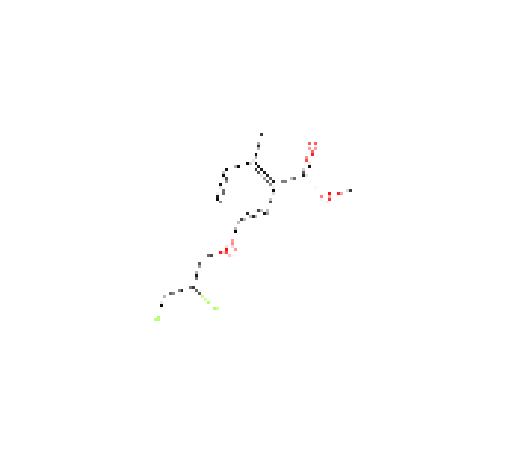 COC(=O)c1cc(OCC(F)CF)ccc1C